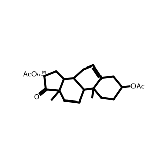 CC(=O)OC1CCC2(C)C(=CCC3C4C[C@@H](OC(C)=O)C(=O)C4(C)CCC32)C1